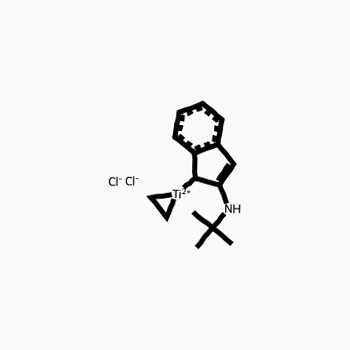 CC(C)(C)NC1=Cc2ccccc2[CH]1[Ti+2]1[CH2][CH2]1.[Cl-].[Cl-]